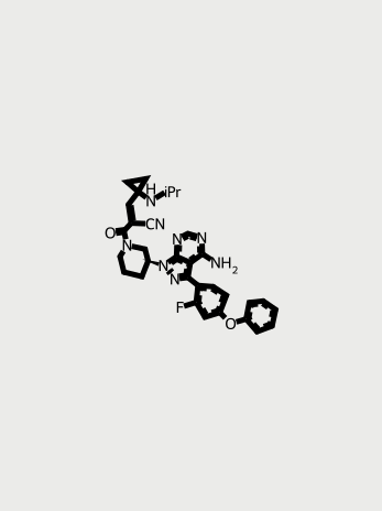 CC(C)NC1(/C=C(\C#N)C(=O)N2CCC[C@H](n3nc(-c4ccc(Oc5ccccc5)cc4F)c4c(N)ncnc43)C2)CC1